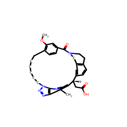 COc1cc2ccc1CCCCCCn1nnc3c(C)c(cnc31)[C@@H](CC(=O)O)c1ccc3c(c1)CN(CC3)C2=O